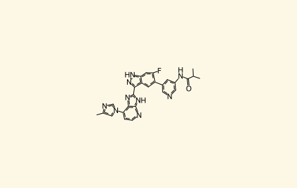 Cc1cn(-c2ccnc3[nH]c(-c4n[nH]c5cc(F)c(-c6cncc(NC(=O)C(C)C)c6)cc45)nc23)cn1